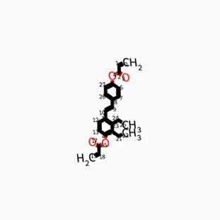 C=CC(=O)Oc1ccc(C=Cc2ccc(OC(=O)C=C)c(CC)c2CC)cc1